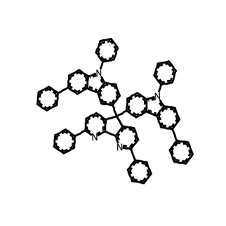 c1ccc(-c2ccc3c(c2)c2cc(C4(c5ccc6c(c5)c5cc(-c7ccccc7)ccc5n6-c5ccccc5)c5ccc(-c6ccccc6)nc5-c5nc(-c6ccccc6)ccc54)ccc2n3-c2ccccc2)cc1